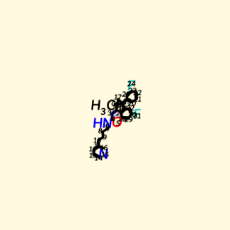 C[C@@]1(/C=C/C(=O)NCCCCc2cccnc2)CC1(c1cccc(F)c1)c1cccc(F)c1